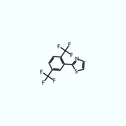 FC(F)(F)c1ccc(C(F)(F)F)c(-c2n[c]cs2)c1